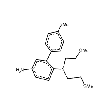 COCCN(CCOC)c1ccc(N)cc1-c1ccc(SC)cc1